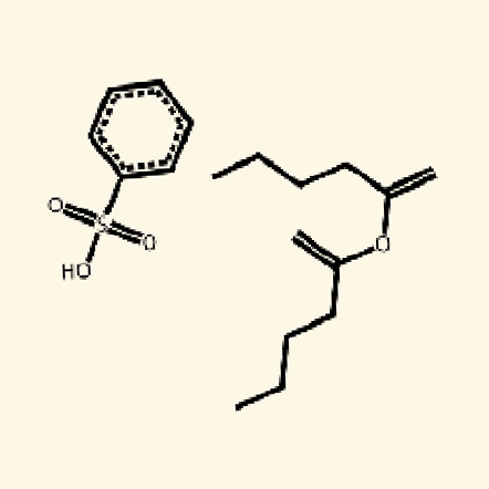 C=C(CCCC)OC(=C)CCCC.O=S(=O)(O)c1ccccc1